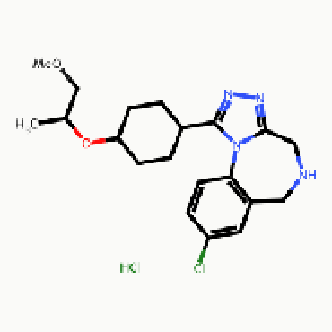 COCC(C)OC1CCC(c2nnc3n2-c2ccc(Cl)cc2CNC3)CC1.Cl